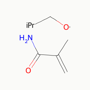 C=C(C)C(N)=O.CC(C)C[O]